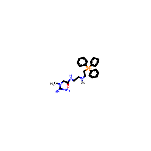 CC(=O)N(CCNC(=O)CN(C)C(=N)N)CC[PH](c1ccccc1)(c1ccccc1)c1ccccc1